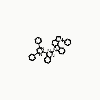 c1ccc(-c2cc(-c3ccccc3)nc(-c3nc(-n4c5ccccc5c5c6c(ccc54)ccn6-c4ccccc4)nc4ccccc34)n2)cc1